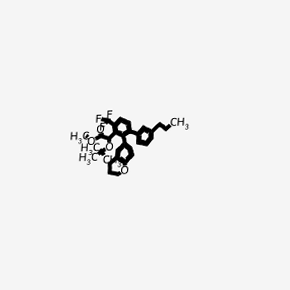 CCCc1cccc(-c2ccc(C(F)(F)F)c(C(OC(C)(C)C)C(=O)OC)c2-c2ccc3c(c2)CCCO3)c1